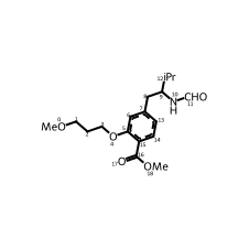 COCCCOc1cc(CC(NC=O)C(C)C)ccc1C(=O)OC